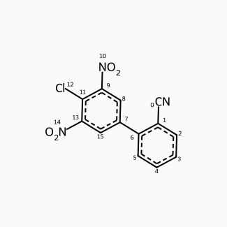 N#Cc1ccccc1-c1cc([N+](=O)[O-])c(Cl)c([N+](=O)[O-])c1